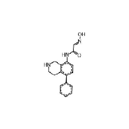 O=C(/C=N/O)Nc1ccc(-c2ccccc2)c2c1CNCC2